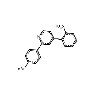 CCCCc1ccc(-c2cc(-c3ccccc3S(=O)(=O)O)ccn2)cc1